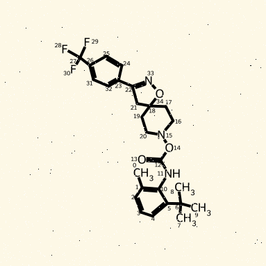 Cc1cccc(C(C)(C)C)c1NC(=O)ON1CCC2(CC1)CC(c1ccc(C(F)(F)F)cc1)=NO2